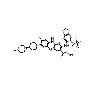 Cc1cc(Nc2ncc(C(=O)OC(C)C)c(Nc3cc4c(cc3N(C)S(C)(=O)=O)CCO4)n2)c(Cl)cc1N1CCC(N2CCN(C)CC2)CC1